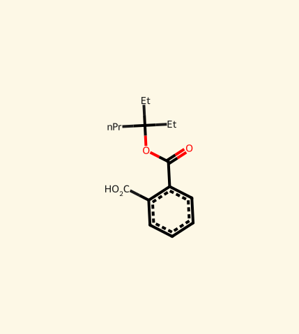 CCCC(CC)(CC)OC(=O)c1ccccc1C(=O)O